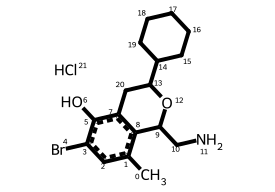 Cc1cc(Br)c(O)c2c1C(CN)OC(C1CCCCC1)C2.Cl